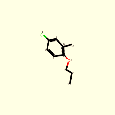 CCCOc1ccc(Cl)cc1C